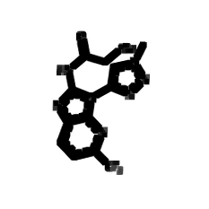 Cn1cc(-n2c(NC(=O)CC(C)(C)C)nc3ccc(C(F)(F)F)nc32)nn1